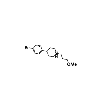 COCCC[SiH]1CCC(c2ccc(Br)cc2)CC1